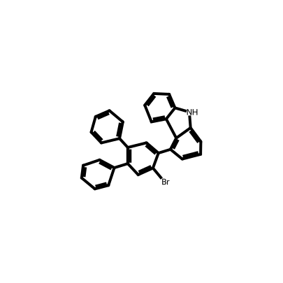 Brc1cc(-c2ccccc2)c(-c2ccccc2)cc1-c1cccc2[nH]c3ccccc3c12